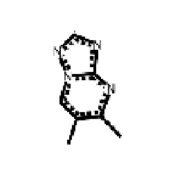 Cc1cn2n[c]nc2nc1C